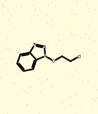 ClCCOn1nnc2ccccc21